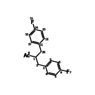 CC(=O)C(Cc1ccc(F)cc1)Cc1ccc(F)cc1